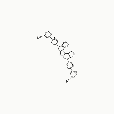 N#Cc1ccnc(-c2ccc(-c3cc4sc5cc(-c6ccc(-c7cc(C#N)ccn7)nc6)c6ccccc6c5c4c4ccccc34)cn2)c1